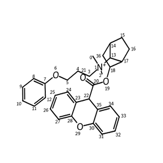 C[N+](C)(CCCOc1ccccc1)C1C2CCC1C(OC(=O)C1c3ccccc3Oc3ccccc31)C2